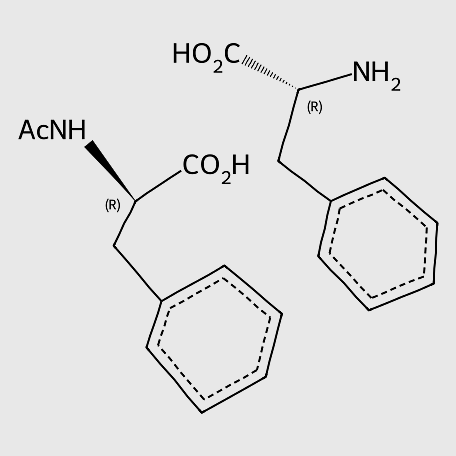 CC(=O)N[C@H](Cc1ccccc1)C(=O)O.N[C@H](Cc1ccccc1)C(=O)O